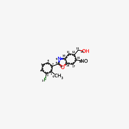 Cc1c(F)cccc1-c1nc2cc(CO)c(N=O)cc2o1